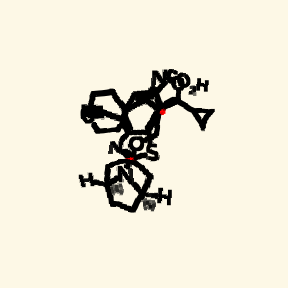 C#Cc1cc(C(=O)O)cc2sc(N3[C@@H]4CC[C@H]3CC(OCc3c(C5CCOCC5)noc3C3CC3)C4)nc12